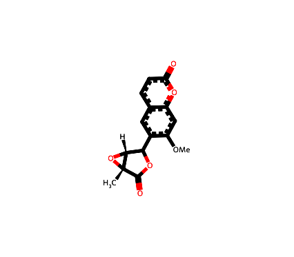 COc1cc2oc(=O)ccc2cc1C1OC(=O)[C@]2(C)O[C@H]12